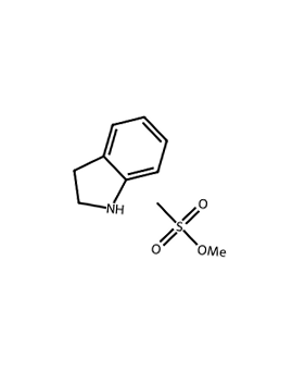 COS(C)(=O)=O.c1ccc2c(c1)CCN2